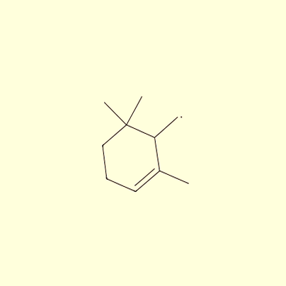 [CH2]C1C(C)=CCCC1(C)C